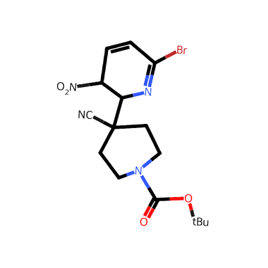 CC(C)(C)OC(=O)N1CCC(C#N)(C2N=C(Br)C=CC2[N+](=O)[O-])CC1